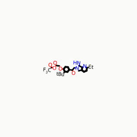 CCc1ccc2c(n1)C(=N)N(CC(=O)c1ccc(OCC(=O)OC(=O)C(F)(F)F)c(C(C)(C)C)c1)C2